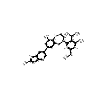 Cc1cc(-c2cnc3sc(N)nc3c2)cc2c1OCCN(c1nc(CN)nc(C)c1C(C)C)C2